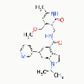 COCc1cc(C)[nH]c(=O)c1CNC(=O)c1cc(-c2cccnc2)cc2c1ccn2C(C)C